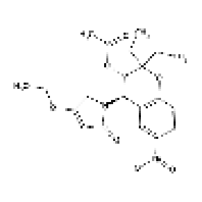 CCOC1=CC(=O)N([C@@H]2c3cc([N+](=O)[O-])ccc3OC(CC)(CC)[C@H]2OC(C)=O)C1